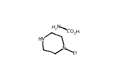 CCN1CCNCC1.NC(=O)O